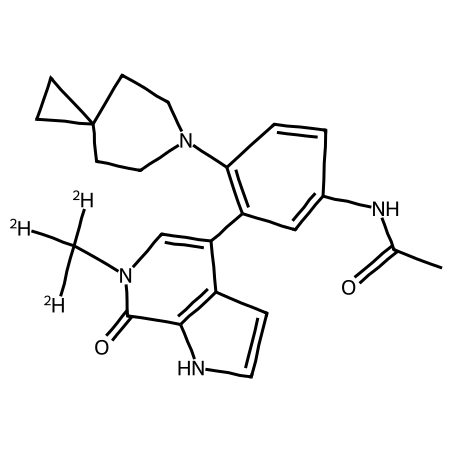 [2H]C([2H])([2H])n1cc(-c2cc(NC(C)=O)ccc2N2CCC3(CC2)CC3)c2cc[nH]c2c1=O